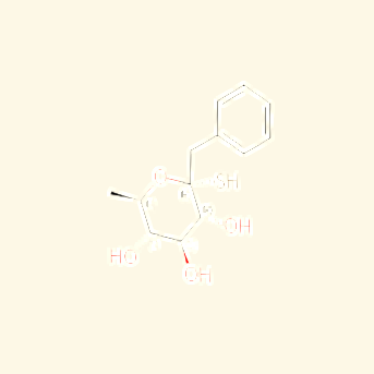 C[C@H]1O[C@@](S)(Cc2ccccc2)[C@H](O)[C@@H](O)[C@@H]1O